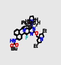 CCC1CN2CC(CC)CC2(COc2nc(N3C[C@H]4CC[C@@H](C3)N4C(=O)O)c3cnc(-c4ccc(NC(=O)OC(C)(C)C)c5cccc(C#C[Si](C(C)C)(C(C)C)C(C)C)c45)c(F)c3n2)C1